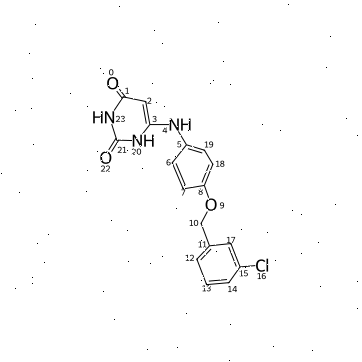 O=c1cc(Nc2ccc(OCc3cccc(Cl)c3)cc2)[nH]c(=O)[nH]1